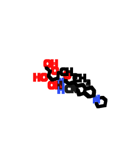 C/C(=C(/C#N)C(=O)N[C@H]1C(C)O[C@H](CO)[C@@H](O)[C@@H]1O)c1ccc2cc(N3CCCCC3)ccc2c1